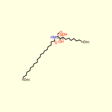 CCCCCCCCCCCCCCCCCCCCCCCCCCCC(=O)N[C@@H](CO)[C@H](O)[C@H](O)CCCCCCCCCCCCCCCC